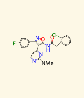 CNc1nccc(-c2c(-c3ccc(F)cc3)noc2NC(=O)Cc2ccccc2Cl)n1